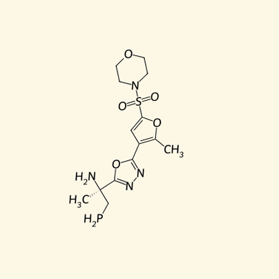 Cc1oc(S(=O)(=O)N2CCOCC2)cc1-c1nnc([C@](C)(N)CP)o1